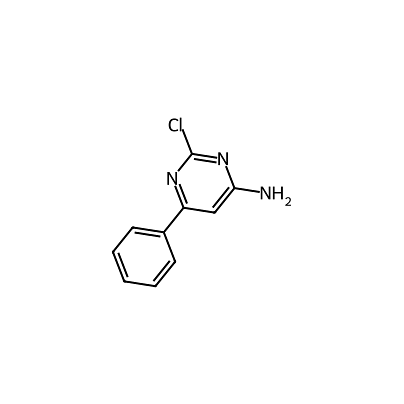 Nc1cc(-c2ccccc2)nc(Cl)n1